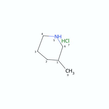 CC1CCCNC1.Cl